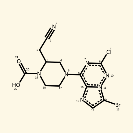 N#CCC1CN(c2nc(Cl)nn3c(Br)cnc23)CCN1C(=O)O